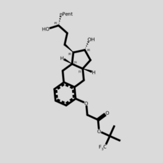 CCCCC[C@@H](O)CC[C@@H]1[C@H]2Cc3cccc(OCC(=O)OC(C)(C)C(F)(F)F)c3C[C@H]2C[C@H]1O